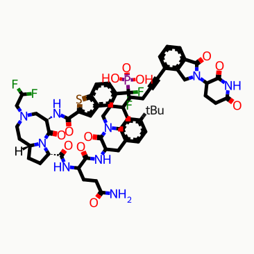 CC(C)(C)c1ccc(CC(NC(=O)C(CCC(N)=O)NC(=O)[C@@H]2CC[C@@H]3CCN(CC(F)F)C[C@H](NC(=O)c4cc5cc(C(F)(F)P(=O)(O)O)ccc5s4)C(=O)N32)C(=O)N2CCC(CCC#Cc3cccc4c3CN(C3CCC(=O)NC3=O)C4=O)CC2)cc1